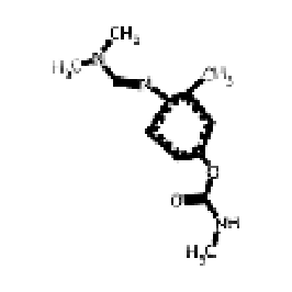 CNC(=O)Oc1ccc(/N=C/N(C)C)c(C)c1